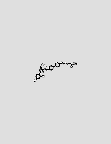 CCn1cc(-c2ccc(Cl)cc2Cl)nc1C=Cc1ccc(-c2ccc(OCCCCC(=O)O)cc2)cc1